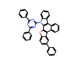 c1ccc(-c2ccc3oc4c(c3c2)c2ccccc2c2c3ccccc3n(-c3nc(-c5ccccc5)nc(-c5ccccc5)n3)c42)cc1